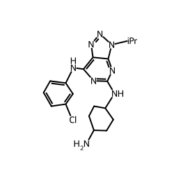 CC(C)n1nnc2c(Nc3cccc(Cl)c3)nc(NC3CCC(N)CC3)nc21